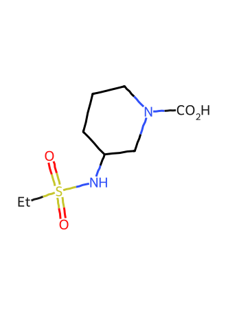 CCS(=O)(=O)NC1CCCN(C(=O)O)C1